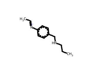 C/C=N/c1ccc(CNCCC)cc1